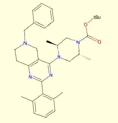 Cc1cccc(C)c1-c1nc2c(c(N3C[C@@H](C)N(C(=O)OC(C)(C)C)C[C@@H]3C)n1)CN(Cc1ccccc1)CC2